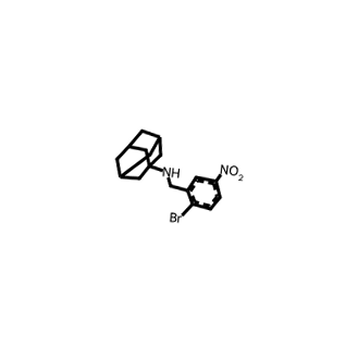 O=[N+]([O-])c1ccc(Br)c(CNC23CC4CC(CC(C4)C2)C3)c1